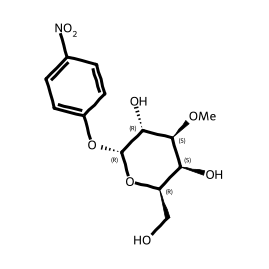 CO[C@H]1[C@@H](O)[C@@H](CO)O[C@H](Oc2ccc([N+](=O)[O-])cc2)[C@@H]1O